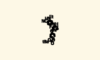 CCNc1cc(Nc2cc(OC3CCN(OC(=O)OC(C)(C)C)CC3)ncn2)c(F)cc1C#N